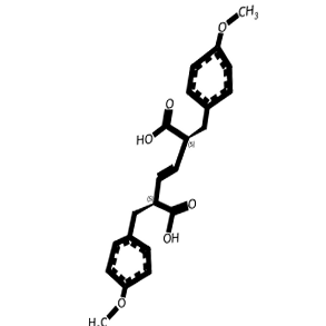 COc1ccc(C[C@@H](C=C[C@H](Cc2ccc(OC)cc2)C(=O)O)C(=O)O)cc1